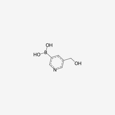 OCc1cncc(B(O)O)c1